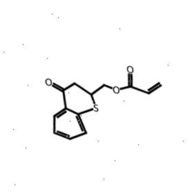 C=CC(=O)OCC1CC(=O)c2ccccc2S1